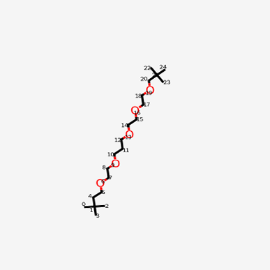 CC(C)(C)CCOCCOCCCOCCOCCOCC(C)(C)C